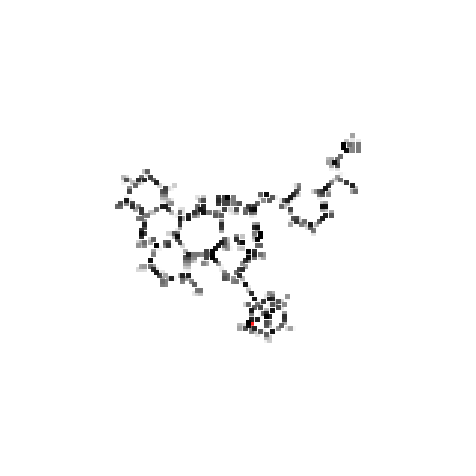 CC(=NO)c1cccc(NC(=O)NC2N=C(c3ccccc3F)c3cccc(C)c3N(CC(=O)N3CC4CCC(CC4)C3)C2=O)c1